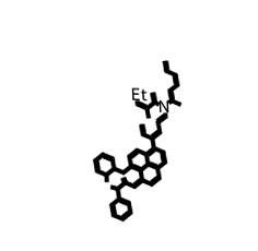 C=C/C=C\C=C(/C)N(/C=C/C=C(\C=C)c1ccc2cc/c(=C/C(=C)C(C)c3ccccc3)c3c(CC4C=CC=CC4C)ccc1c23)C(=C)/C(C)=C\CC